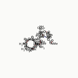 CNC(=O)c1ccccc1Sc1ccc2c(/C=C/c3ccccn3)nn(C(=O)NC3(CNC(=O)OCc4ccc(NC(=O)[C@H](CCCNC(N)=O)NC(=O)[C@@H](NC(=O)CCC(=O)N[C@H](C(=O)N[C@@H](CCN)C(=O)N[C@H]5CCNC(=O)[C@H]([C@@H](C)O)NC(=O)[C@H](CCN)NC(=O)[C@H](CCN)NC(=O)[C@H](CC(C)C)NC(=O)[C@@H](Cc6ccccc6)NC(=O)[C@H](CCN)NC5=O)[C@@H](C)O)C(C)C)cc4)CCC3)c2c1